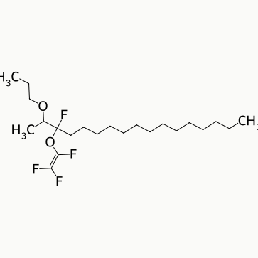 CCCCCCCCCCCCCCC(F)(OC(F)=C(F)F)C(C)OCCC